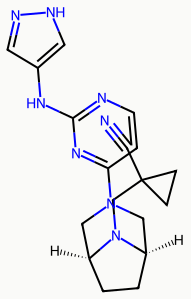 N#CC1(CN2[C@@H]3CC[C@H]2CN(c2ccnc(Nc4cn[nH]c4)n2)C3)CC1